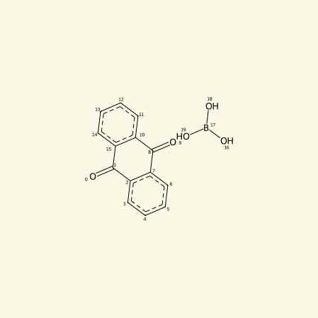 O=C1c2ccccc2C(=O)c2ccccc21.OB(O)O